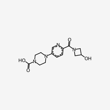 O=C(O)N1CCN(c2ccc(C(=O)N3CC(O)C3)nc2)CC1